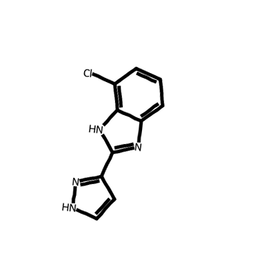 Clc1cccc2nc(-c3cc[nH]n3)[nH]c12